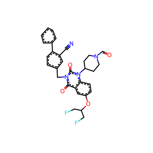 N#Cc1cc(Cn2c(=O)c3cc(OC(CF)CF)ccc3n(C3CCN(C=O)CC3)c2=O)ccc1-c1ccccc1